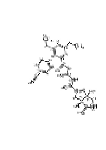 CCc1cc(-c2sc(NC(=O)N3C[C@@H]4CNC(=O)[C@@H]4C3)nc2-c2cccc(C#N)c2)cc(CC)n1